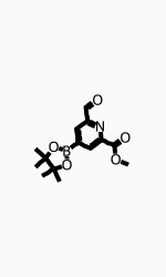 COC(=O)c1cc(B2OC(C)(C)C(C)(C)O2)cc(C=O)n1